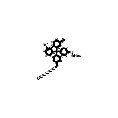 CCCCCCOc1ccc(C2(c3ccc(C=C=C=C=C=C=O)cc3)c3cc(Br)ccc3-c3c(Br)cccc32)cc1